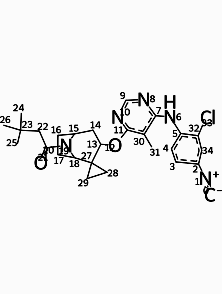 [C-]#[N+]c1ccc(Nc2ncnc(OC3CC4CCC(N4C(=O)CC(C)(C)C)C34CC4)c2C)c(Cl)c1